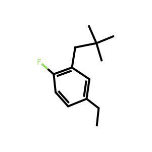 CCc1ccc(F)c(CC(C)(C)C)c1